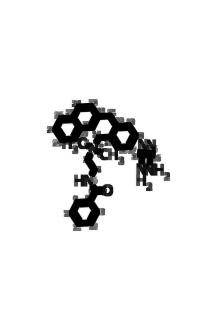 C[N+](C)(CCNC(=O)c1ccccc1)Cc1ccccc1Cc1ccc2ccccc2c1.N#CN.N#CN